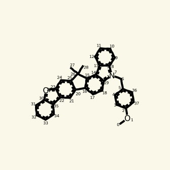 COc1ccc(Cn2c3ccccc3c3c4c(ccc32)-c2cc3c(cc2C4(C)C)oc2ccccc23)cc1